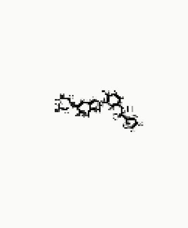 O=C(Nc1ccc(F)c(-n2cc3cc(N4CCOCC4)cnc3n2)c1)c1ccco1